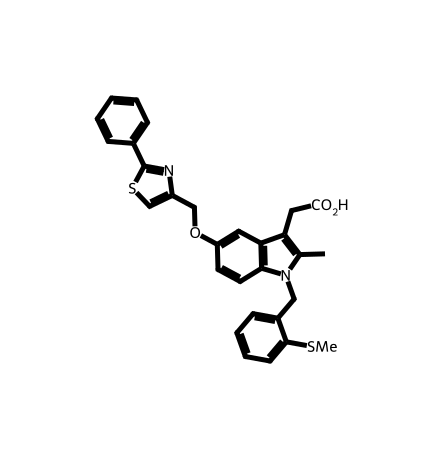 CSc1ccccc1Cn1c(C)c(CC(=O)O)c2cc(OCc3csc(-c4ccccc4)n3)ccc21